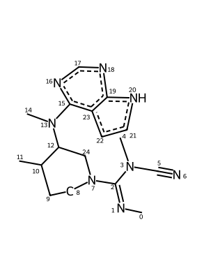 CN=C(N(C)C#N)N1CCC(C)C(N(C)c2ncnc3[nH]ccc23)C1